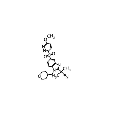 COc1ccc(S(=O)(=O)c2ccc3c(c2)nc(C(C)(C)C#N)n3CC2CCOCC2)nn1